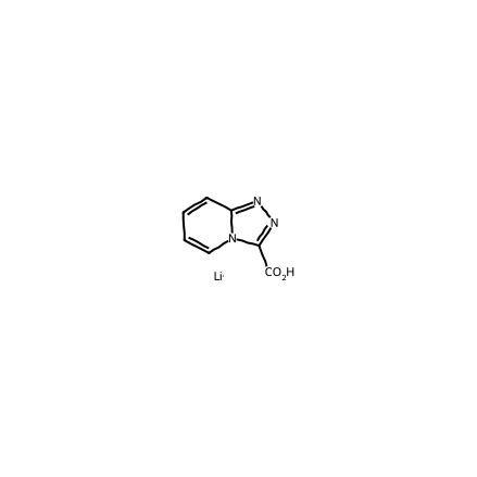 O=C(O)c1nnc2ccccn12.[Li]